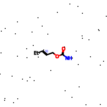 CC/C=C/COC([NH])=O